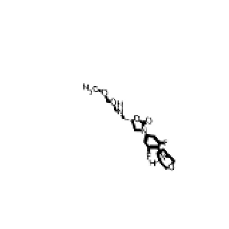 COCOCNC[C@H]1CN(c2cc(F)c(N3C4CC[C@@H]3COC4)c(F)c2)C(=O)O1